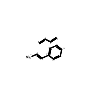 C=CC=C.CC(C)(C)C=Cc1ccccc1